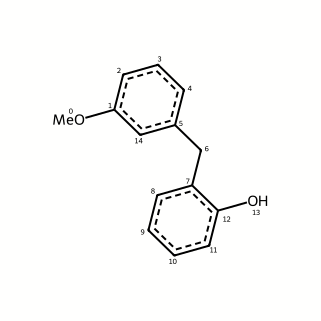 COc1cccc(Cc2ccccc2O)c1